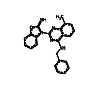 Cc1cccc2c(NCc3ccccc3)nc(-n3c(=N)oc4ccccc43)nc12